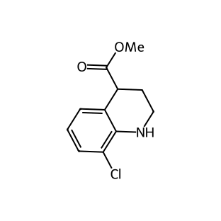 COC(=O)C1CCNc2c(Cl)cccc21